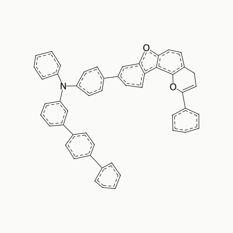 C1=C(c2ccccc2)Oc2c(ccc3oc4cc(-c5ccc(N(c6ccccc6)c6cccc(-c7ccc(-c8ccccc8)cc7)c6)cc5)ccc4c23)C1